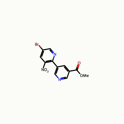 COC(=O)c1cncc(-c2ncc(Br)cc2[N+](=O)[O-])c1